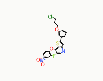 O=[N+]([O-])c1ccc(Oc2ccnc3cc(-c4cccc(OCCCCl)c4)sc23)c(F)c1